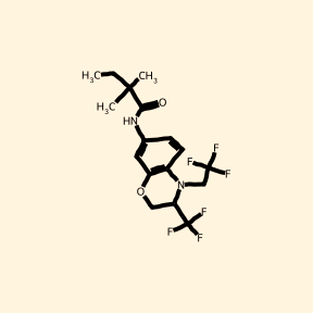 CCC(C)(C)C(=O)Nc1ccc2c(c1)OCC(C(F)(F)F)N2CC(F)(F)F